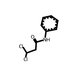 O=C(CC(Cl)Cl)Nc1ccccc1